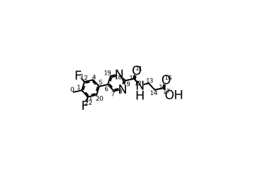 Cc1c(F)cc(-c2cnc(C(=O)NCCC(=O)O)nc2)cc1F